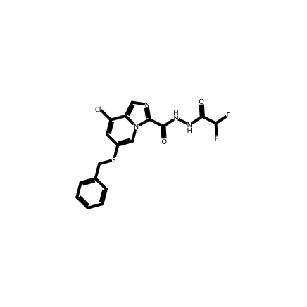 O=C(NNC(=O)C(F)F)c1ncc2c(Cl)cc(SCc3ccccc3)cn12